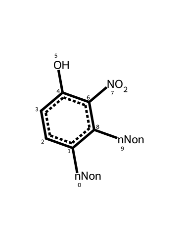 CCCCCCCCCc1ccc(O)c([N+](=O)[O-])c1CCCCCCCCC